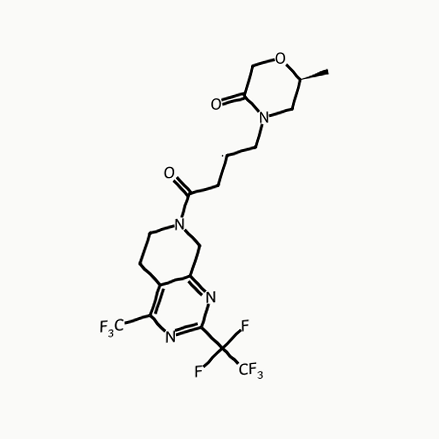 C[C@H]1CN(C[CH]CC(=O)N2CCc3c(nc(C(F)(F)C(F)(F)F)nc3C(F)(F)F)C2)C(=O)CO1